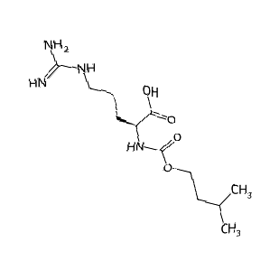 CC(C)CCOC(=O)N[C@@H](CCCNC(=N)N)C(=O)O